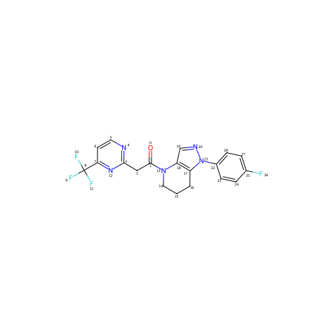 O=C(Cc1nccc(C(F)(F)F)n1)N1CCCc2c1cnn2-c1ccc(F)cc1